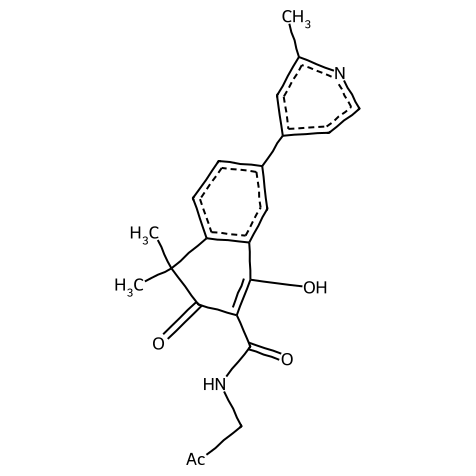 CC(=O)CNC(=O)C1=C(O)c2cc(-c3ccnc(C)c3)ccc2C(C)(C)C1=O